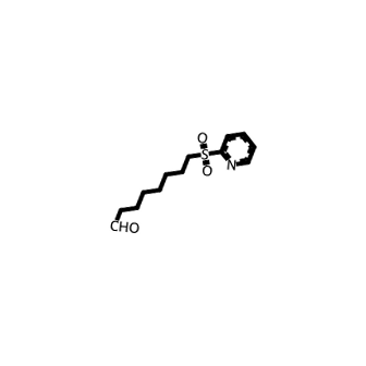 O=CCCCCCCCS(=O)(=O)c1ccccn1